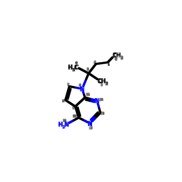 CCCC(C)(C)n1ccc2c(N)ncnc21